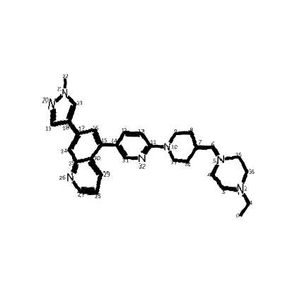 CCN1CCN(CC2CCN(c3ccc(-c4cc(-c5cnn(C)c5)cc5ncccc45)cn3)CC2)CC1